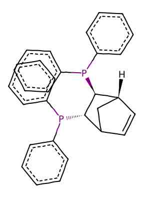 C1=C[C@@H]2CC1[C@H](P(c1ccccc1)c1ccccc1)[C@H]2P(c1ccccc1)c1ccccc1